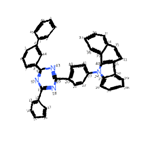 c1ccc(-c2cccc(-c3nc(-c4ccccc4)nc(-c4ccc(-n5c6ccccc6c6ccc7ccccc7c65)cc4)n3)c2)cc1